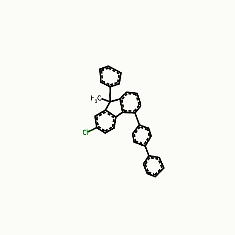 CC1(c2ccccc2)c2cc(Cl)ccc2-c2c(-c3ccc(-c4ccccc4)cc3)cccc21